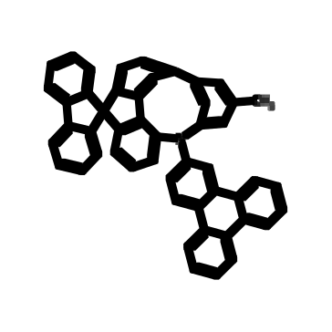 Cc1cc2cc(c1)n(-c1ccc3c4ccccc4c4ccccc4c3c1)c1cccc3c1c1cc2ccc1C31c2ccccc2-c2ccccc21